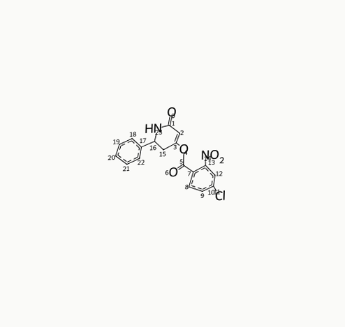 O=C1C=C(OC(=O)c2ccc(Cl)cc2[N+](=O)[O-])CC(c2ccccc2)N1